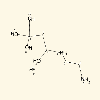 F.NCCNC(O)CC(O)(O)O